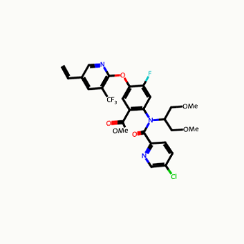 C=Cc1cnc(Oc2cc(C(=O)OC)c(N(C(=O)c3ccc(Cl)cn3)C(COC)COC)cc2F)c(C(F)(F)F)c1